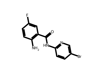 Nc1ccc(F)cc1C(=O)Nc1ccc(Br)cn1